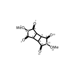 CON1C(=O)C2C(C1=O)C1C(=O)N(OC)C(=O)C21